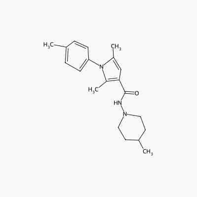 Cc1ccc(-n2c(C)cc(C(=O)NN3CCC(C)CC3)c2C)cc1